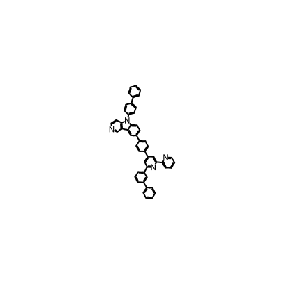 c1ccc(-c2ccc(-n3c4ccncc4c4cc(-c5ccc(-c6cc(-c7cccc(-c8ccccc8)c7)nc(-c7ccccn7)c6)cc5)ccc43)cc2)cc1